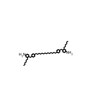 CCCCCCc1cc(N)ccc1Cc1ccc(CCCCCCCCCCCCCCc2ccc(Cc3ccc(N)cc3CCCCCC)cc2)cc1